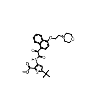 COC(=O)c1sc(C(C)(C)C)cc1NC(=O)C(=O)c1ccc(OCCN2CCOCC2)c2ccccc12